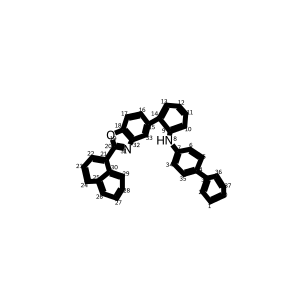 c1ccc(-c2ccc(Nc3ccccc3-c3ccc4oc(-c5cccc6ccccc56)nc4c3)cc2)cc1